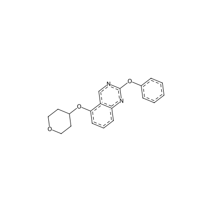 c1ccc(Oc2ncc3c(OC4CCOCC4)cccc3n2)cc1